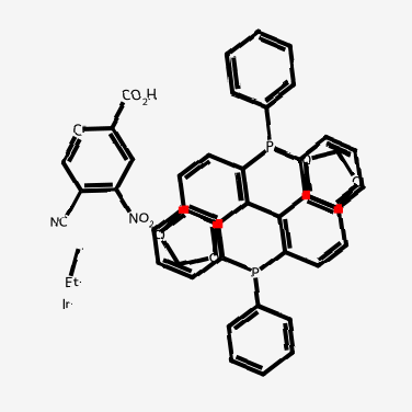 N#Cc1c[c-]c(C(=O)O)cc1[N+](=O)[O-].[CH2][CH][CH2].[Ir].c1ccc(P(c2ccccc2)c2ccc3c(c2-c2c(P(c4ccccc4)c4ccccc4)ccc4c2OCO4)OCO3)cc1